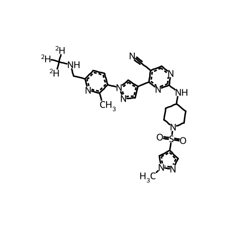 [2H]C([2H])([2H])NCc1ccc(-n2cc(-c3nc(NC4CCN(S(=O)(=O)c5cnn(C)c5)CC4)ncc3C#N)cn2)c(C)n1